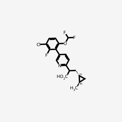 C[C@@H]1C[C@H]1CC(C(=O)O)c1ccc(-c2c(OC(F)F)ccc(Cl)c2F)cn1